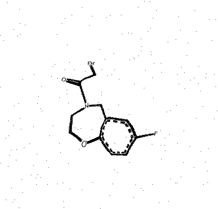 O=C(CBr)N1CCOc2ccc(F)cc2C1